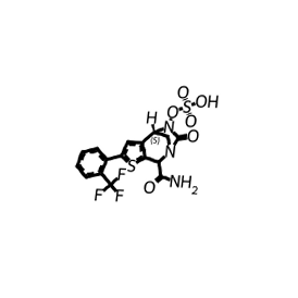 NC(=O)C1c2sc(-c3ccccc3C(F)(F)F)cc2[C@H]2CN1C(=O)N2OS(=O)(=O)O